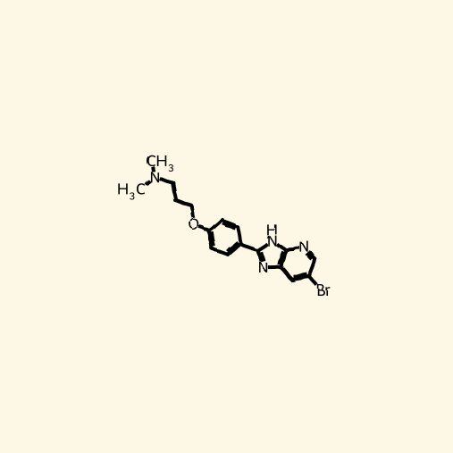 CN(C)CCCOc1ccc(-c2nc3cc(Br)cnc3[nH]2)cc1